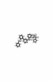 O=S(=O)(Cc1cccc(Nc2cc(-c3ccccc3OCc3ccccc3)ncn2)c1)NC1CCCC1